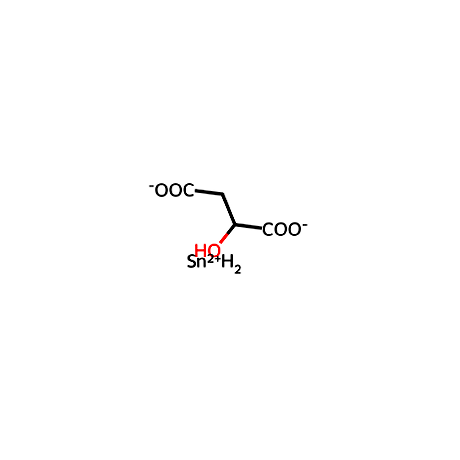 O=C([O-])CC(O)C(=O)[O-].[SnH2+2]